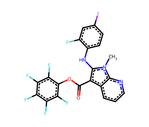 Cn1c(Nc2ccc(I)cc2F)c(C(=O)Oc2c(F)c(F)c(F)c(F)c2F)c2cccnc21